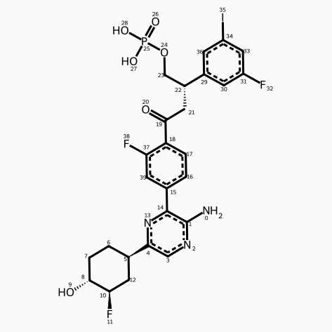 Nc1ncc([C@@H]2CC[C@@H](O)[C@H](F)C2)nc1-c1ccc(C(=O)C[C@H](COP(=O)(O)O)c2cc(F)cc(I)c2)c(F)c1